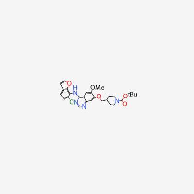 COc1cc2c(Nc3c(Cl)ccc4ccoc34)ncnc2cc1OCC1CCN(C(=O)OC(C)(C)C)CC1